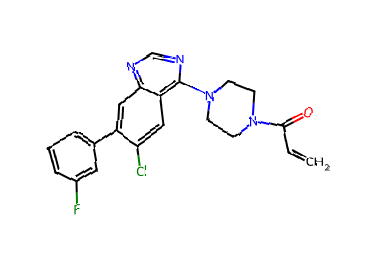 C=CC(=O)N1CCN(c2ncnc3cc(-c4cccc(F)c4)c(Cl)cc23)CC1